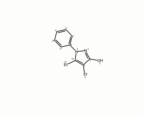 CCc1c(O)nn(-c2ccccc2)c1CC